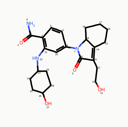 NC(=O)c1ccc(N2C(=O)C(CCO)=C3CCCCC32)cc1NC1CCC(O)CC1